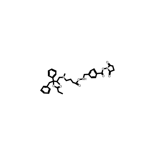 CCC(=O)OC(Cc1ccccc1)(c1ccccc1)C(C)CN(C)CCCC(=O)ONCc1ccc(C(=O)ON2C(=O)CCC2=O)cc1